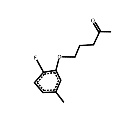 CC(=O)CCCOc1cc(C)ccc1F